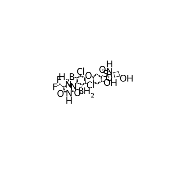 Bc1c(Cl)c(Oc2ccc(O)c(S(=O)(=O)N[C@H]3C[C@@H](O)C3)c2)c(Cl)c(B)c1-n1nc(C(F)F)c(=O)[nH]c1=O